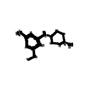 COc1cc(N)cc(N[C@H]2CC[C@@H](O)CC2)n1